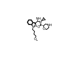 COCCCCn1nc([C@@H](N)N(C(=O)[C@H]2CNCCO2)C2CC2)c2ccccc21